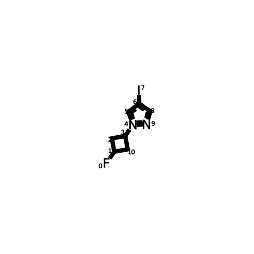 FC1CC(n2cc(I)cn2)C1